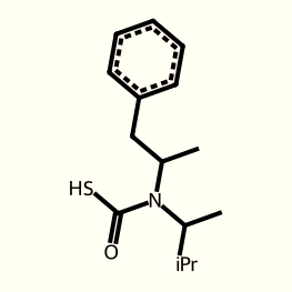 CC(C)C(C)N(C(=O)S)C(C)Cc1ccccc1